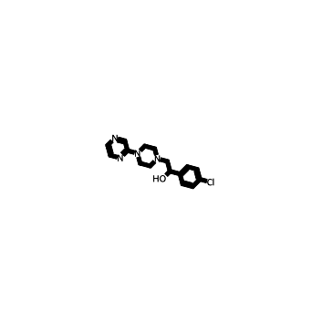 OC(CN1CCN(c2cnccn2)CC1)c1ccc(Cl)cc1